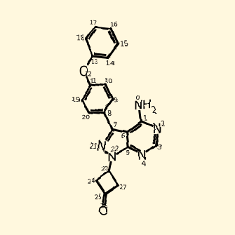 Nc1ncnc2c1c(-c1ccc(Oc3ccccc3)cc1)nn2C1CC(=O)C1